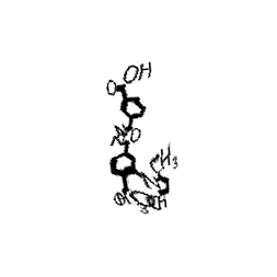 Cc1ccc(C)n1-c1cc(-c2nnc(-c3cccc(C(=O)O)c3)o2)ccc1C(=O)O